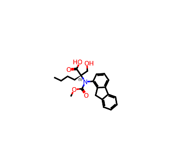 CCCC[C@](CO)(C(=O)O)N(C(=O)OC)c1cccc2c1Cc1ccccc1-2